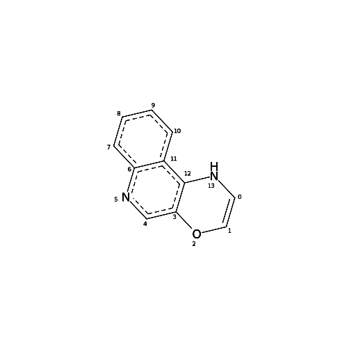 C1=COc2cnc3ccccc3c2N1